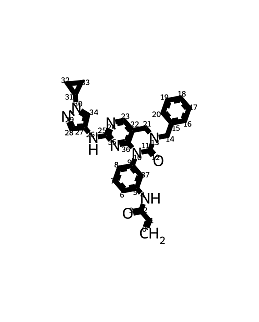 C=CC(=O)Nc1cccc(N2C(=O)N(Cc3ccccc3)Cc3cnc(Nc4cnn(C5CC5)c4)nc32)c1